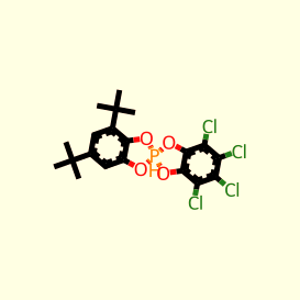 CC(C)(C)c1cc2c(c(C(C)(C)C)c1)O[PH]1(O2)Oc2c(Cl)c(Cl)c(Cl)c(Cl)c2O1